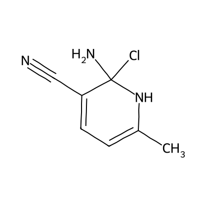 CC1=CC=C(C#N)C(N)(Cl)N1